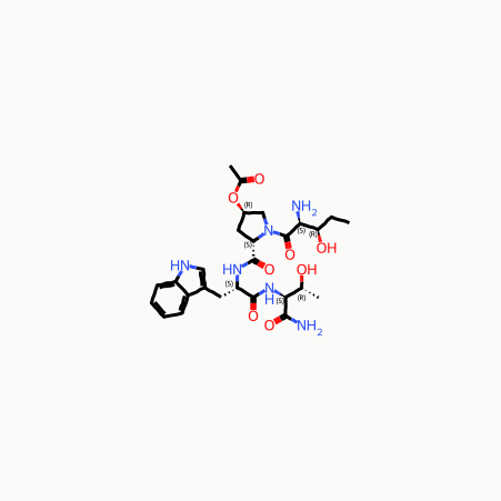 CC[C@@H](O)[C@H](N)C(=O)N1C[C@H](OC(C)=O)C[C@H]1C(=O)N[C@@H](Cc1c[nH]c2ccccc12)C(=O)N[C@H](C(N)=O)[C@@H](C)O